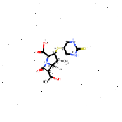 C[C@@H](O)[C@H]1C(=O)N2C(C(=O)O)C(SC3CNC(=S)NC3)[C@H](C)[C@H]12